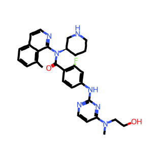 Cc1cccc2ccnc(N(C(=O)c3ccc(Nc4nccc(N(C)CCO)n4)cc3F)[C@@H]3CCCNC3)c12